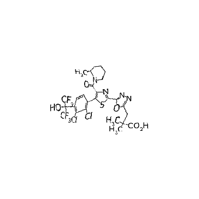 C[C@H]1CCCCN1C(=O)c1nc(-c2nnc(CC(C)(C)C(=O)O)o2)sc1-c1ccc(C(O)(C(F)(F)F)C(F)(F)F)c(Cl)c1Cl